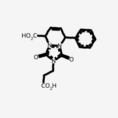 O=C(O)CCn1c(=O)n2n(c1=O)C(c1ccccc1)C=CC2C(=O)O